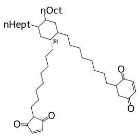 CCCCCCCCC1CC(CCCCCCCCC2CC(=O)C=CC2=O)[C@H](CCCCCCCCC2C(=O)C=CC2=O)CC1CCCCCCC